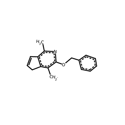 [CH2]c1c(OCc2ccccc2)nc(C)c2c1CC=C2